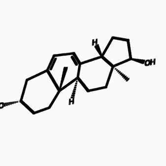 C[C@]12CC[C@@H]3C(=CC=C4C[C@@H](O)CC[C@]43C)[C@@H]1CC[C@H]2O